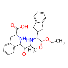 CCOC(=O)[C@@H](N[C@@H](C)C(=O)C1N[C@H](C(=O)O)Cc2ccccc21)C1Cc2ccccc2C1